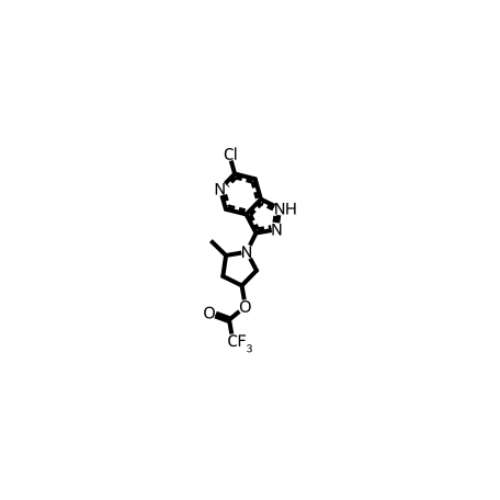 CC1CC(OC(=O)C(F)(F)F)CN1c1n[nH]c2cc(Cl)ncc12